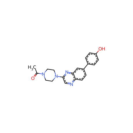 CC(=O)N1CCN(c2cnc3ccc(-c4ccc(O)cc4)cc3n2)CC1